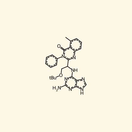 Cc1cccc2nc(C(COC(C)(C)C)Nc3nc(N)nc4[nH]cnc34)n(-c3ccccc3)c(=O)c12